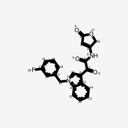 O=C1C=C(NC(=O)C(=O)c2cn(Cc3cccc(F)c3)c3ccccc23)CO1